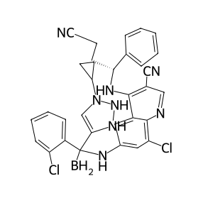 BC(Nc1cc(Cl)c2ncc(C#N)c(N[C@H](CCC#N)c3ccccc3)c2c1)(C1=CN(C2CC2)NN1)c1ccccc1Cl